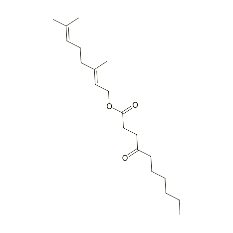 CCCCCCC(=O)CCC(=O)OC/C=C(\C)CCC=C(C)C